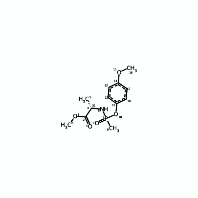 COC(=O)[C@H](C)NP(C)(=O)Oc1ccc(OC)cc1